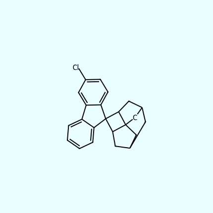 Clc1ccc2c(c1)-c1ccccc1C21C2CC3CC4CC1C2(C3)C4